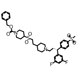 CS(=O)(=O)c1ccc([C@@H](CCN2CCC(CCS(=O)(=O)C3CCN(C(=O)OCc4ccccc4)CC3)CC2)c2cc(F)cc(F)c2)cc1